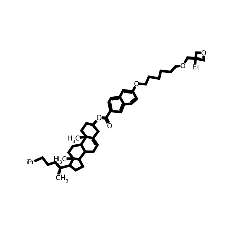 CCC1(COCCCCCCOc2ccc3cc(C(=O)OC4CCC5(C)C(=CCC6C5CCC5(C)C(C(C)CCCC(C)C)CCC65)C4)ccc3c2)COC1